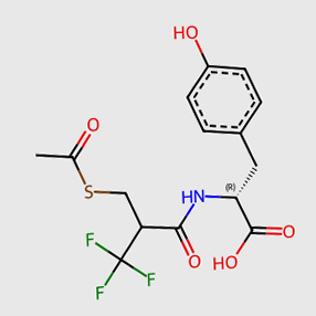 CC(=O)SCC(C(=O)N[C@H](Cc1ccc(O)cc1)C(=O)O)C(F)(F)F